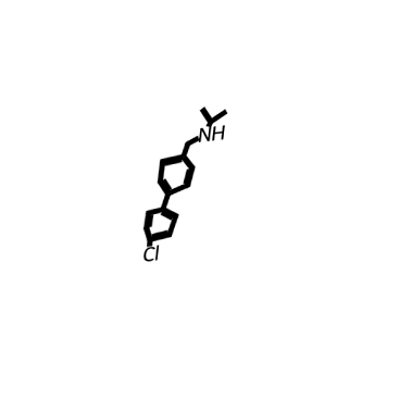 CC(C)NCc1ccc(-c2ccc(Cl)cc2)cc1